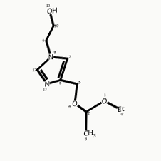 CCOC(C)OCc1cn(CCO)cn1